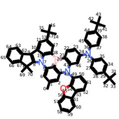 Cc1cc2c3c(c1)-n1c4c(c5cc(C(C)(C)C)cc(c51)B3c1ccc(N(c3ccc(C(C)(C)C)cc3)c3ccc(C(C)(C)C)cc3)cc1N2c1cccc2c1oc1ccccc12)-c1ccccc1C4(C)C